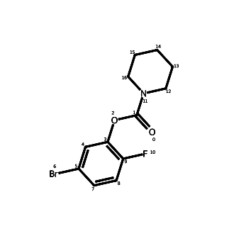 O=C(Oc1cc(Br)ccc1F)N1CCCCC1